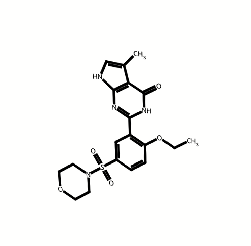 CCOc1ccc(S(=O)(=O)N2CCOCC2)cc1-c1nc2[nH]cc(C)c2c(=O)[nH]1